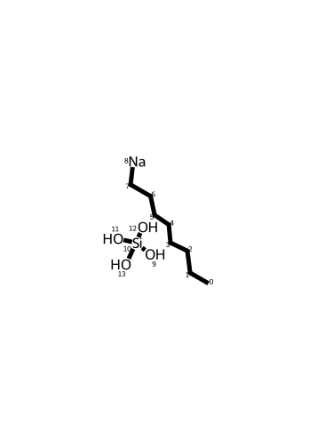 CCCCCCC[CH2][Na].O[Si](O)(O)O